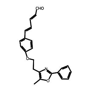 Cc1oc(-c2ccccc2)nc1CCOc1ccc(C=CC=CC=O)cc1